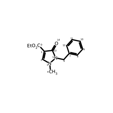 CCOC(=O)c1cn(C)n(Cc2ccccc2)c1=O